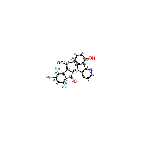 N#CC(C#N)=C1/C(=C2/c3cccnc3-c3c(O)cccc32)C(=O)c2c(F)cc(F)c(F)c21